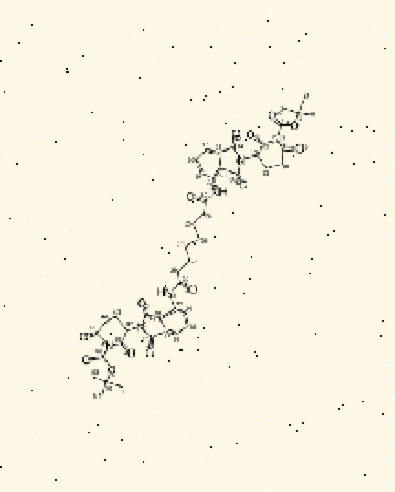 CC(C)(C)OC(=O)N1C(=O)CCC(N2C(=O)c3cccc(NC(=O)CCCCCCC(=O)Nc4cccc5c4C(=O)N(C4CCC(=O)N(C(=O)OC(C)(C)C)C4=O)C5=O)c3C2=O)C1=O